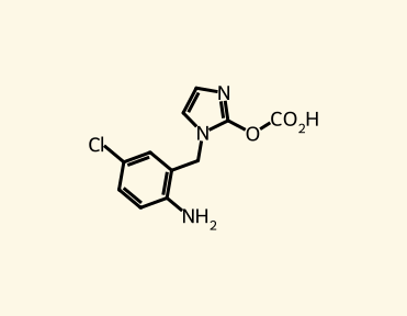 Nc1ccc(Cl)cc1Cn1ccnc1OC(=O)O